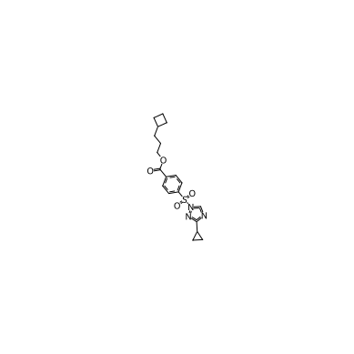 O=C(OCCCC1CCC1)c1ccc(S(=O)(=O)n2cnc(C3CC3)n2)cc1